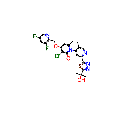 Cc1cnc(-c2nnc(C(C)(C)O)s2)cc1-n1c(C)cc(OCc2ncc(F)cc2F)c(Cl)c1=O